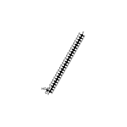 O=S(=O)(O)C(F)(F)C(F)(F)C(F)(F)C(F)(F)C(F)(F)C(F)(F)C(F)(F)C(F)(F)C(F)(F)C(F)(F)C(F)(F)C(F)(F)C(F)(F)C(F)(F)C(F)(F)C(F)(F)C(F)(F)C(F)(F)C(F)(F)C(F)(F)C(F)(F)C(F)(F)C(F)(F)C(F)(F)F